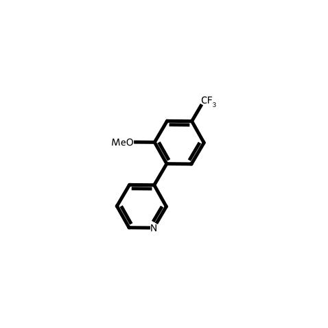 COc1cc(C(F)(F)F)ccc1-c1cccnc1